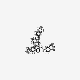 O=C(CCc1ccc2ccccc2c1)C1C=C2C(Cc3ccc4c(c3)CCC4)CCCC2C1c1ccc2c(c1)CCC2